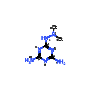 CCN(CC)Nc1nc(N)nc(N)n1